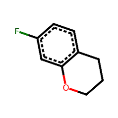 Fc1ccc2c(c1)OCCC2